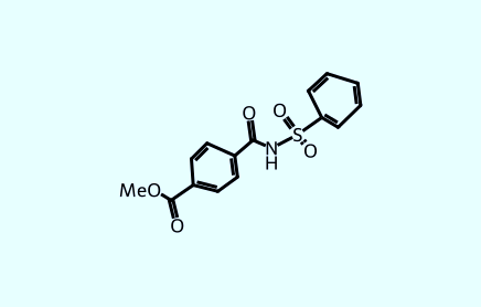 COC(=O)c1ccc(C(=O)NS(=O)(=O)c2ccccc2)cc1